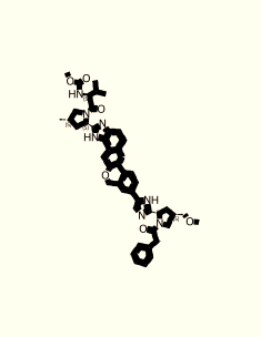 COC[C@H]1C[C@@H](c2ncc(-c3ccc4c(c3)COc3cc5c(ccc6nc([C@@H]7C[C@H](C)CN7C(=O)[C@@H](NC(=O)OC)C(C)C)[nH]c65)cc3-4)[nH]2)N(C(=O)[CH]c2ccccc2)C1